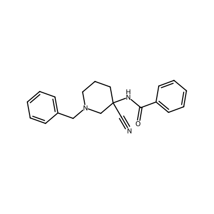 N#CC1(NC(=O)c2ccccc2)CCCN(Cc2ccccc2)C1